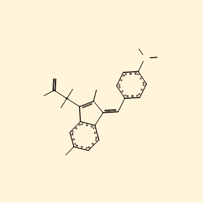 CC1=C(C(C)(C)C(=O)O)c2cc(F)ccc2C1=Cc1ccc([S+](C)[O-])cc1